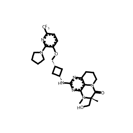 CN1c2nc(N[C@H]3C[C@@H](COc4ccc(C(F)(F)F)nc4N4CCCC4)C3)nc3c2N(CCC3)C(=O)[C@]1(C)CO